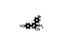 N#Cc1nc(-c2ccc(O)cc2)cc(-c2ccc(Br)cc2)c1N